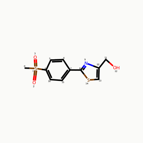 CS(=O)(=O)c1ccc(-c2nc(CO)cs2)cc1